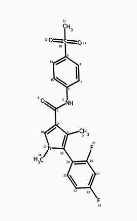 Cc1c(C(=O)Nc2ccc(S(C)(=O)=O)cc2)cn(C)c1-c1ccc(F)cc1F